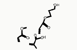 C=C(C)C(=O)O.C=CC(=O)OC.C=CC(=O)OCCCO